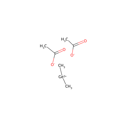 CC(=O)[O-].CC(=O)[O-].[CH3][Ge+2][CH3]